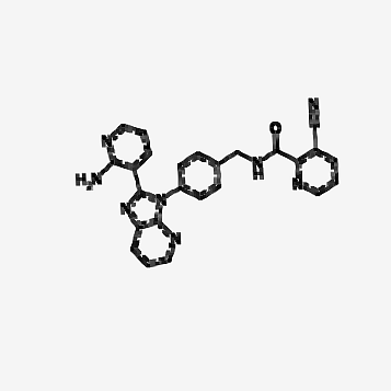 N#Cc1cccnc1C(=O)NCc1ccc(-n2c(-c3cccnc3N)nc3cccnc32)cc1